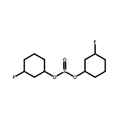 O=S(OC1CCCC(F)C1)OC1CCCC(F)C1